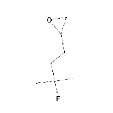 CC(C)(F)CCC1CO1